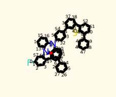 Fc1ccc2c3ccccc3n(-c3ccccc3N(c3ccc(-c4ccccc4)cc3)c3ccc(-c4cccc5c4sc4c(-c6ccccc6)cccc45)cc3)c2c1